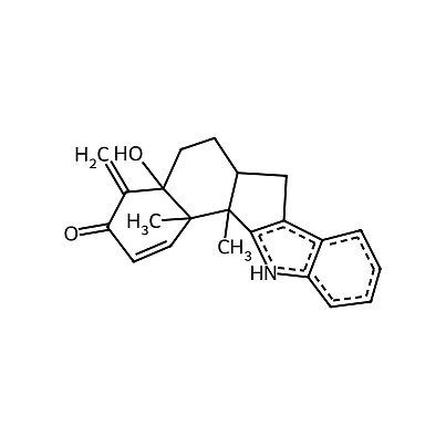 C=C1C(=O)C=CC2(C)C1(O)CCC1Cc3c([nH]c4ccccc34)C12C